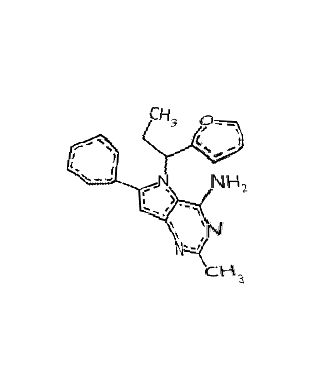 CCC(c1ccco1)n1c(-c2ccccc2)cc2nc(C)nc(N)c21